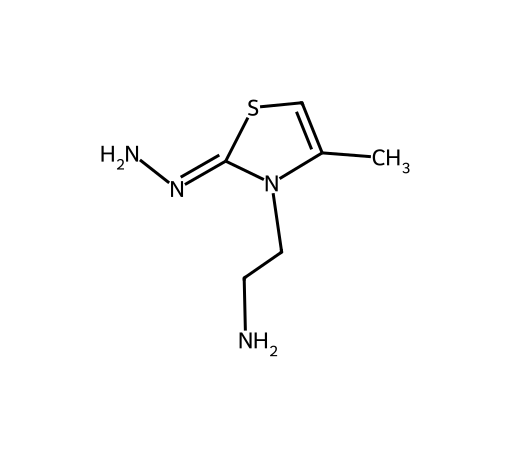 Cc1csc(=NN)n1CCN